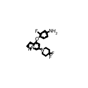 Nc1ccc(Oc2cc(N3CCC(F)(F)CC3)cn3nccc23)c(F)c1